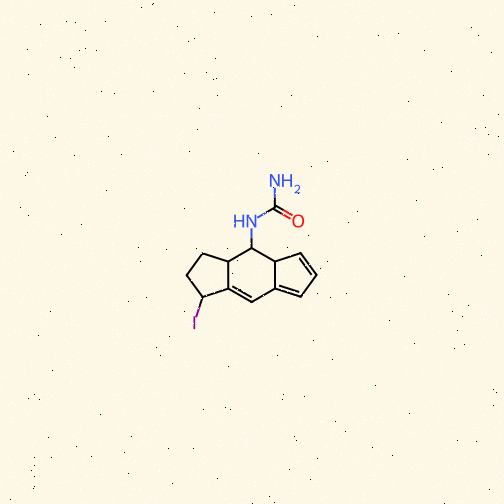 NC(=O)NC1C2C=CC=C2C=C2C(I)CCC21